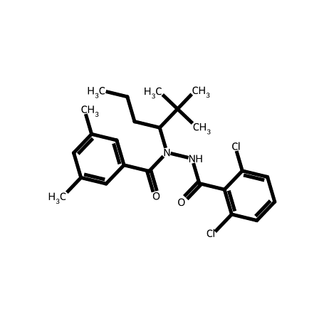 CCCC(N(NC(=O)c1c(Cl)cccc1Cl)C(=O)c1cc(C)cc(C)c1)C(C)(C)C